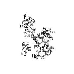 O=C(O)C(F)(F)F.O=C(O)C(F)(F)F.Oc1ccc(C(F)(F)F)c(-c2ncc3c(N4C[C@H]5CC[C@@H](C4)N5)nc(OCC45CCCN4CCC5)nc3c2F)c1